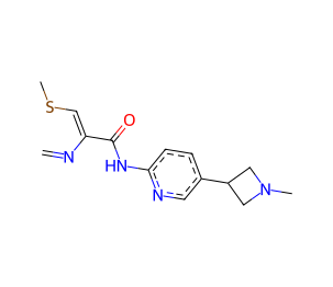 C=N/C(=C\SC)C(=O)Nc1ccc(C2CN(C)C2)cn1